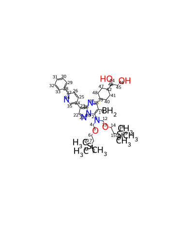 Bc1c(N(COCC[Si](C)(C)C)COCC[Si](C)(C)C)n2ncc(-c3ccc(-c4ccccc4)nc3)c2nc1[C@H]1CC[C@H](C(O)CO)CC1